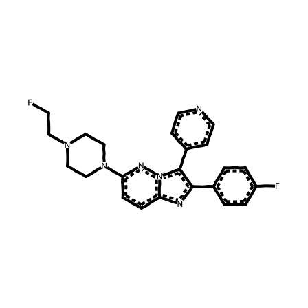 FCCN1CCN(c2ccc3nc(-c4ccc(F)cc4)c(-c4ccncc4)n3n2)CC1